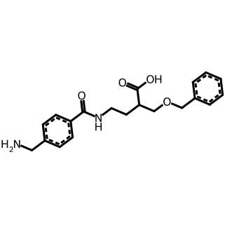 NCc1ccc(C(=O)NCCC(COCc2ccccc2)C(=O)O)cc1